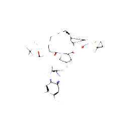 COC[C@@H]1C[C@H](C)CCC=C[C@@H]2C[C@@]2(C(=O)NS(=O)(=O)C2(C)CC2)NC(=O)[C@@H]2C[C@@H](Oc3nc4cc(OC)c(F)cc4nc3C(F)(F)F)CN2C(=O)[C@H]1NC(=O)OC(C)(C)C(F)(F)F